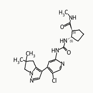 CNC(=O)[C@H]1CCC[C@@H]1NC(=O)Nc1cc(-c2cnn3c2CC(C)(C)C3)c(Cl)cn1